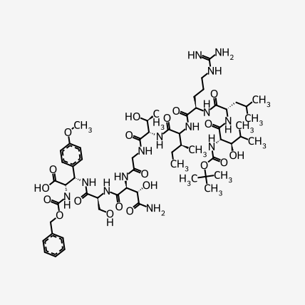 CC[C@H](C)C(NC(=O)[C@@H](CCCNC(=N)N)NC(=O)[C@H](CC(C)C)NC(=O)[C@@H](NC(=O)OC(C)(C)C)[C@H](O)C(C)C)C(=O)N[C@H](C(=O)NCC(=O)N[C@H](C(=O)N[C@@H](CO)C(=O)N[C@@H](c1ccc(OC)cc1)[C@H](NC(=O)OCc1ccccc1)C(=O)O)[C@H](O)C(N)=O)[C@H](C)O